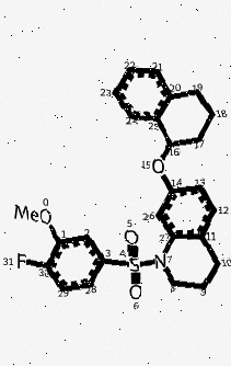 COc1cc(S(=O)(=O)N2CCCc3ccc(OC4CCCc5ccccc54)cc32)ccc1F